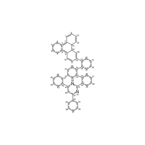 C1=CC2=c3ccccc3=C3C=CC(c4ccccc4-c4ccccc4-c4ccccc4-c4nc(-c5ccccc5)cc(-c5ccccc5)n4)=CC3C2C=C1